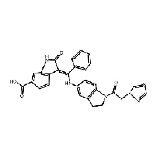 O=C1Nc2cc(C(=O)O)ccc2C1=C(Nc1ccc2c(c1)CCN2C(=O)Cn1cncn1)c1ccccc1